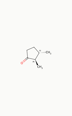 C[C@H]1CCC(=O)[C@@H]1C